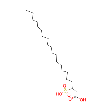 CCCCCCCCCCCCCCCCCCC(CC(=O)O)S(=O)(=O)O